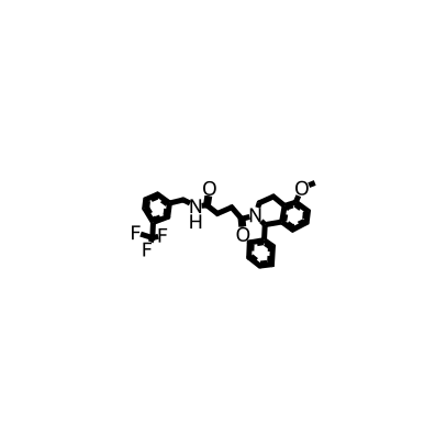 COc1cccc2c1CCN(C(=O)CCC(=O)NCc1cccc(C(F)(F)F)c1)C2c1ccccc1